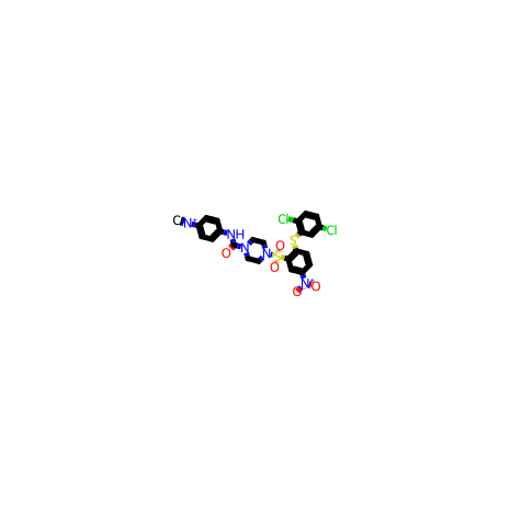 [C-]#[N+]c1ccc(NC(=O)N2CCN(S(=O)(=O)c3cc([N+](=O)[O-])ccc3Sc3cc(Cl)ccc3Cl)CC2)cc1